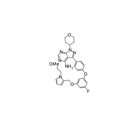 COCCn1cccc1COc1cc(F)cc(Oc2ccc(-c3nn(C4CCOCC4)c4ncnc(N)c34)cc2)c1